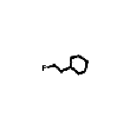 FCC[C]1CCCCC1